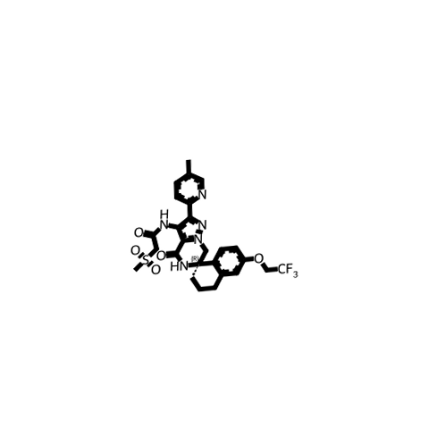 Cc1ccc(-c2nn3c(c2NC(=O)CS(C)(=O)=O)C(=O)N[C@@]2(CCCc4cc(OCC(F)(F)F)ccc42)C3)nc1